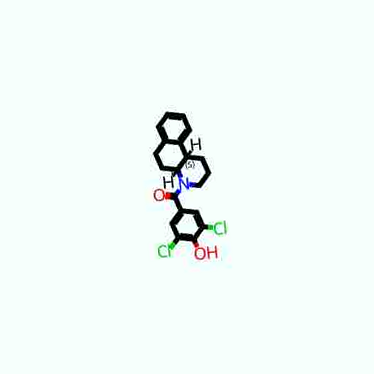 O=C(c1cc(Cl)c(O)c(Cl)c1)N1CCC[C@H]2c3ccccc3CC[C@H]21